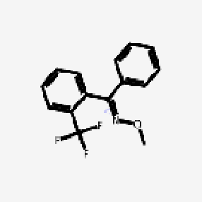 CO/N=C(\c1ccccc1)c1ccccc1C(F)(F)F